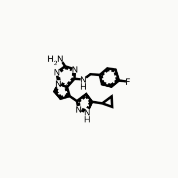 Nc1nc(NCc2ccc(F)cc2)c2c(-c3cc(C4CC4)[nH]n3)ccn2n1